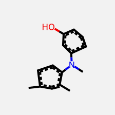 Cc1ccc(N(C)c2cccc(O)c2)c(C)c1